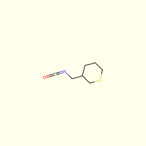 O=C=NCC1CCCSC1